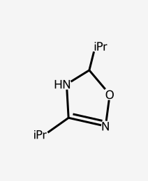 CC(C)C1=NOC(C(C)C)N1